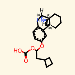 O=C(O)OC(CC1CCC1)Oc1ccc2c(c1)[C@@]13CCCC[C@H]1[C@@H](C2)NCC3